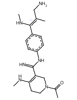 CNC1=C(C(=N)Nc2ccc(/C(NC)=C(\C)CN)cc2)CN(C(C)=O)CC1